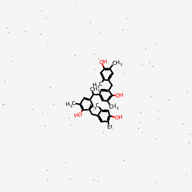 CCc1cc(Cc2cc(C(C)c3cc(C)c(O)c(Cc4cc(C)c(O)cc4C)c3)cc(C)c2O)c(C)cc1O